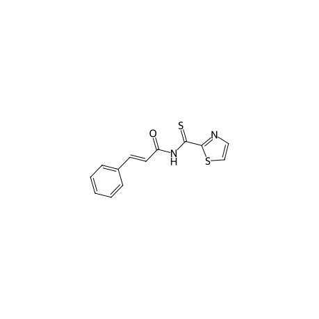 O=C(C=Cc1ccccc1)NC(=S)c1nccs1